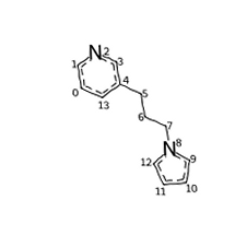 c1cncc(CCCn2cccc2)c1